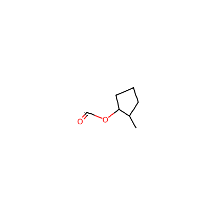 CC1CCCC1O[C]=O